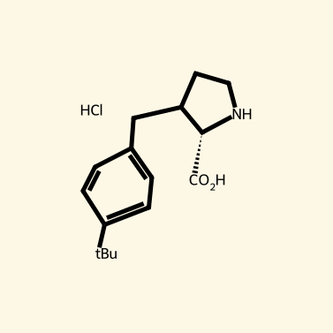 CC(C)(C)c1ccc(CC2CCN[C@@H]2C(=O)O)cc1.Cl